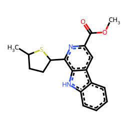 COC(=O)c1cc2c([nH]c3ccccc32)c(C2CCC(C)S2)n1